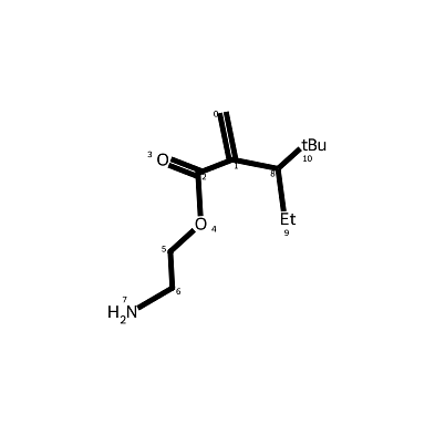 C=C(C(=O)OCCN)C(CC)C(C)(C)C